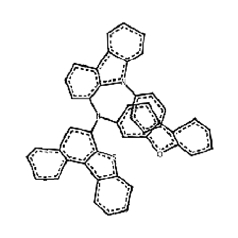 c1ccc(-n2c3ccccc3c3cccc(N(c4ccc5c(c4)oc4ccccc45)c4cc5ccccc5c5c4sc4ccccc45)c32)cc1